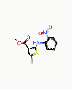 COC(=O)c1cc(C)sc1Nc1ccccc1[N+](=O)[O-]